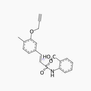 C#CCOc1cc(/C=C/S(=O)(=O)Nc2ccccc2C(=O)O)ccc1C